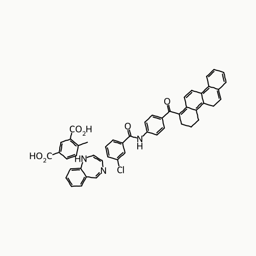 C1=CNc2ccccc2C=N1.Cc1ccc(C(=O)O)cc1C(=O)O.O=C(Nc1ccc(C(=O)C2=c3ccc4c(c3CCC2)CC=c2ccccc2=4)cc1)c1cccc(Cl)c1